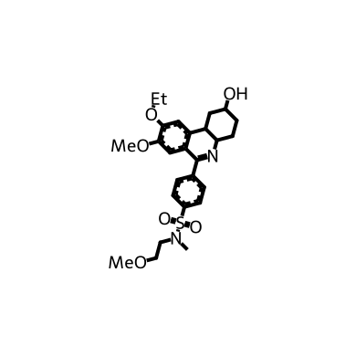 CCOc1cc2c(cc1OC)C(c1ccc(S(=O)(=O)N(C)CCOC)cc1)=NC1CCC(O)CC21